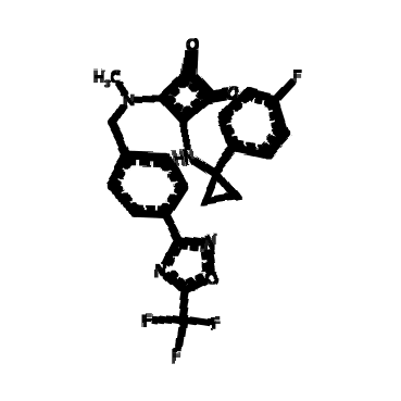 CN(Cc1ccc(-c2noc(C(F)(F)F)n2)cc1)c1c(NC2(c3ccc(F)cc3)CC2)c(=O)c1=O